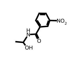 CC(O)NC(=O)c1cccc([N+](=O)[O-])c1